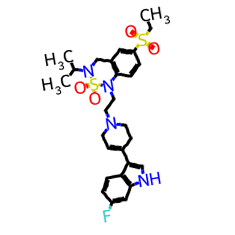 CCS(=O)(=O)c1ccc2c(c1)CN(C(C)C)S(=O)(=O)N2CCN1CC=C(c2c[nH]c3cc(F)ccc23)CC1